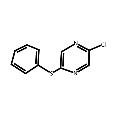 Clc1cnc(Sc2ccccc2)cn1